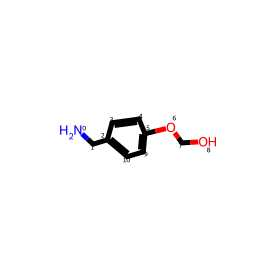 NCc1ccc(OCO)cc1